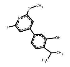 COc1cc(-c2ccc(C(C)C)c(O)c2)cc(F)n1